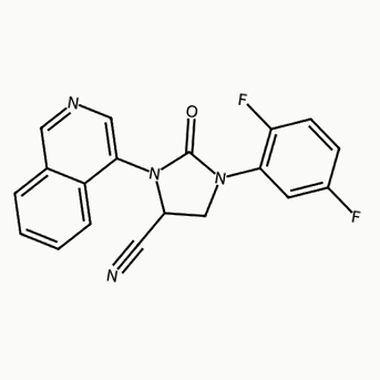 N#CC1CN(c2cc(F)ccc2F)C(=O)N1c1cncc2ccccc12